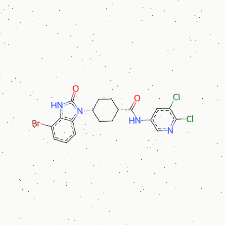 O=c1[nH]c2c(Br)cccc2n1[C@H]1CC[C@@H](C(=O)Nc2cnc(Cl)c(Cl)c2)CC1